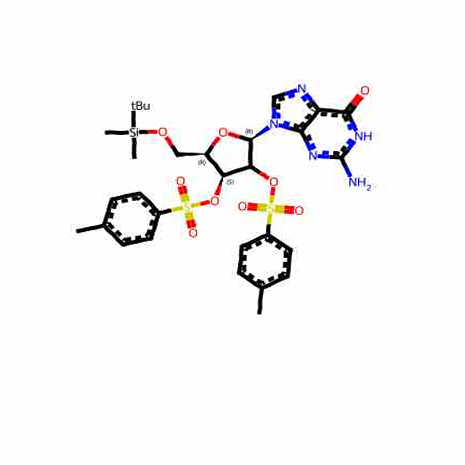 Cc1ccc(S(=O)(=O)OC2[C@@H](OS(=O)(=O)c3ccc(C)cc3)[C@@H](CO[Si](C)(C)C(C)(C)C)O[C@H]2n2cnc3c(=O)[nH]c(N)nc32)cc1